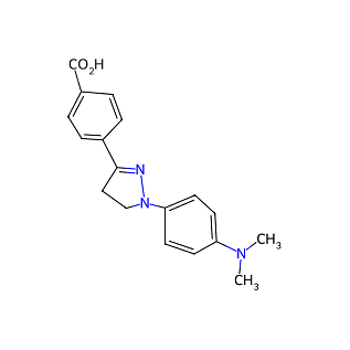 CN(C)c1ccc(N2CCC(c3ccc(C(=O)O)cc3)=N2)cc1